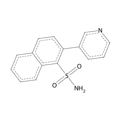 NS(=O)(=O)c1c(-c2cccnc2)ccc2ccccc12